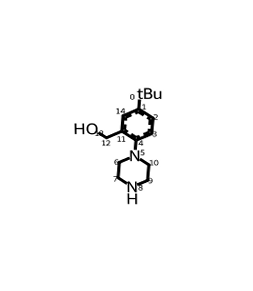 CC(C)(C)c1ccc(N2CCNCC2)c(CO)c1